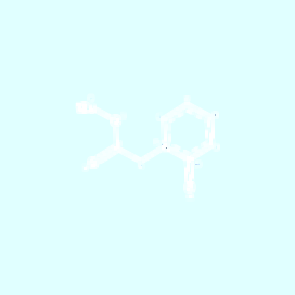 CC(C)(C)OC(=O)Cn1ccccc1=O